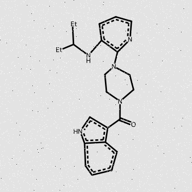 CCC(CC)Nc1cccnc1N1CCN(C(=O)c2c[nH]c3ccccc23)CC1